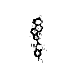 C[C@]12CC[C@@H]3[C@@H](CCC4SC(=O)C=C[C@@]43C)[C@@H]1CC(C(=O)Nc1ccc(C(F)(F)F)cc1C(F)(F)F)C2